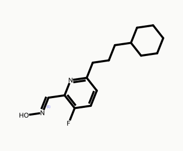 O/N=C/c1nc(CCCC2CCCCC2)ccc1F